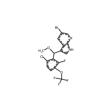 COC(c1c(Cl)ccc(OC(F)(F)F)c1F)c1c[nH]c2ncc(Br)cc12